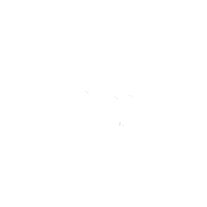 CN[C@@H](C)Cn1ccc(-c2ccc(F)cn2)n1